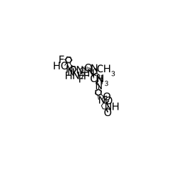 Cc1nc(O[C@H]2CN3c4cc(-c5cccc(F)c5O)nnc4NC[C@]3(C(F)F)C2)nc(C)c1CN1CCN(c2ccc3c(c2)C(=O)N(C2CCC(=O)NC2=O)C3)CC1